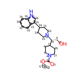 CC(C)(C)OC(=O)N1CCC([C@@H](CO)N2CCC(c3c[nH]c4ccccc34)CC2)CC1